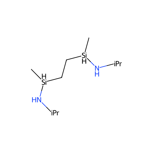 CC(C)N[SiH](C)CC[SiH](C)NC(C)C